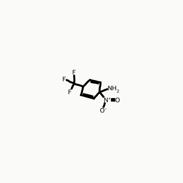 NC1([N+](=O)[O-])C=CC(C(F)(F)F)C=C1